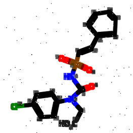 O=C(O)CN(C(=O)NS(=O)(=O)C=Cc1ccccc1)c1ccc(Cl)cc1